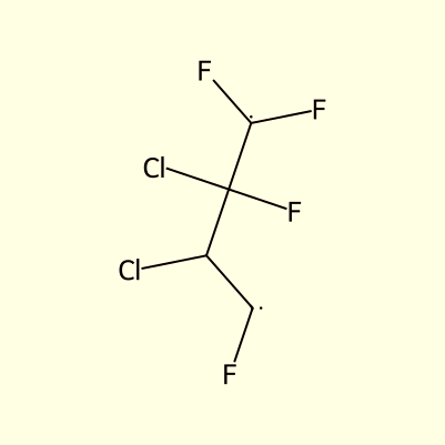 F[CH]C(Cl)C(F)(Cl)[C](F)F